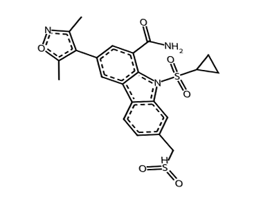 Cc1noc(C)c1-c1cc(C(N)=O)c2c(c1)c1ccc(C[SH](=O)=O)cc1n2S(=O)(=O)C1CC1